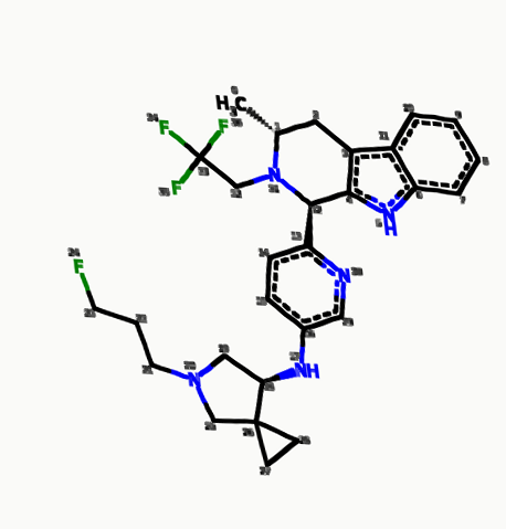 C[C@@H]1Cc2c([nH]c3ccccc23)[C@@H](c2ccc(N[C@@H]3CN(CCCF)CC34CC4)cn2)N1CC(F)(F)F